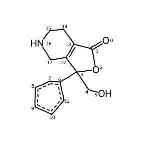 O=C1OC(CO)(c2ccccc2)C2=C1CCNC2